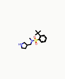 CN(CC1CCNC1)S(=O)(=O)c1ccccc1C(C)(C)C